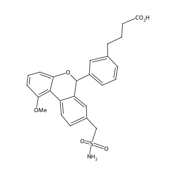 COc1cccc2c1-c1ccc(CS(N)(=O)=O)cc1C(c1cccc(CCCC(=O)O)c1)O2